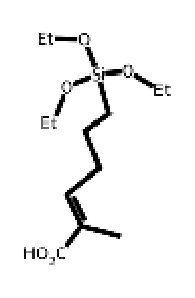 CCO[Si]([CH]CCC=C(C)C(=O)O)(OCC)OCC